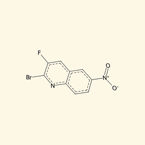 O=[N+]([O-])c1ccc2nc(Br)c(F)cc2c1